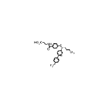 O=C(O)CCNC(=O)c1ccc(S[C@H](CCCC(F)(F)F)c2ccc(-c3ccc(C(F)(F)F)cc3)nc2)cc1